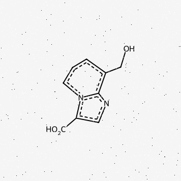 O=C(O)c1cnc2c(CO)cccn12